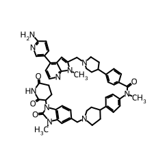 CN(C(=O)c1ccc(C2CCN(Cc3cc4c(-c5ccc(N)nc5)ccnc4n3C)CC2)cc1)c1ccc(C2CCN(Cc3ccc4c(c3)n(C)c(=O)n4C3CCC(=O)NC3=O)CC2)cc1